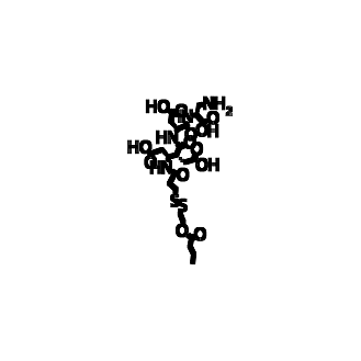 CCCC(=O)OCCSSCCC(=O)N[C@@H](CC(=O)O)[C@@H](CC(=O)O)C(=O)N[C@@H](CC(=O)O)C(=O)N[C@@H](CN)C(=O)O